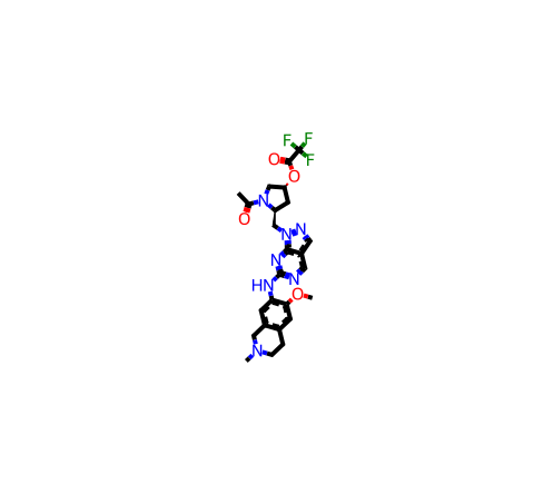 COc1cc2c(cc1Nc1ncc3cnn(C[C@@H]4C[C@@H](OC(=O)C(F)(F)F)CN4C(C)=O)c3n1)CN(C)CC2